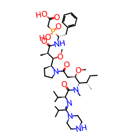 CC[C@H](C)[C@@H]([C@@H](CC(=O)N1CCC[C@H]1[C@H](OC)[C@@H](C)C(=O)N[C@@H](Cc1ccccc1)P(=O)(O)CC(=O)O)OC)N(C)C(=O)[C@@H](/N=C(\C(C)C)N1CCNCC1)C(C)C